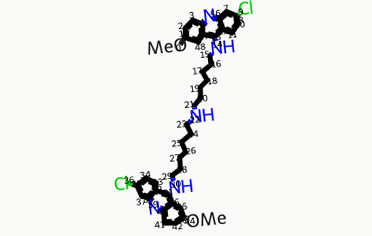 COc1ccc2nc3cc(Cl)ccc3c(NCCCCCCCNCCCCCCCNc3c4ccc(Cl)cc4nc4ccc(OC)cc34)c2c1